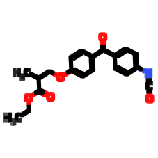 CCOC(=O)C(C)COc1ccc(C(=O)c2ccc(N=C=O)cc2)cc1